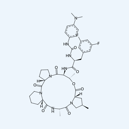 C[C@@H]1C[C@H]2C(=O)O[C@@H](C)[C@H](NC(=O)[C@H](Cc3cc(F)cc(F)c3)NC(=O)Nc3ccc(N(C)C)cc3)C(=O)N3CCC[C@H]3C(=O)N3CCCC[C@H]3C(=O)N[C@@H](C)C(=O)N2C1